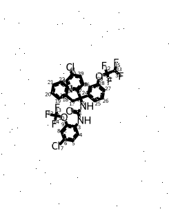 O=C(Nc1ccc(Cl)cc1OC(F)(F)F)NC(Cc1ccccc1)(c1cccc(OC(F)(F)C(F)F)c1)c1ccc(Cl)cn1